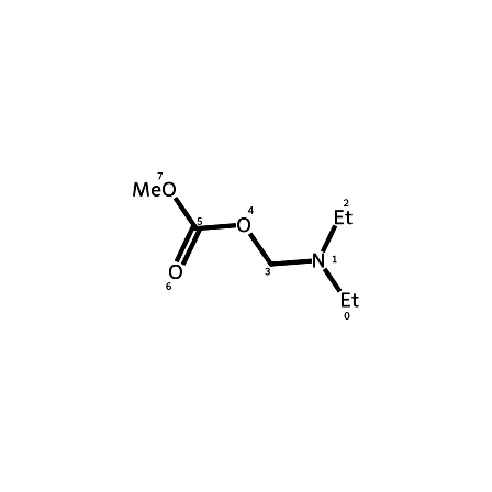 CCN(CC)COC(=O)OC